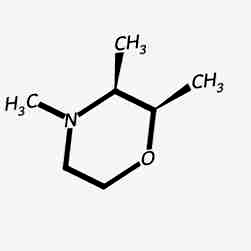 C[C@H]1OCCN(C)[C@H]1C